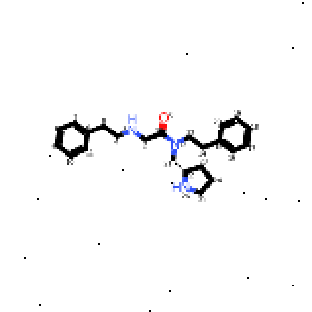 O=C(CNCCc1ccccc1)N(CCc1ccccc1)C[C@@H]1CCCN1